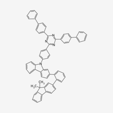 CC1(C)c2ccccc2-c2ccc(-c3ccccc3-c3ccc4c5ccccc5n(-c5ccc(-c6nc(-c7ccc(-c8ccccc8)cc7)nc(-c7ccc(-c8ccccc8)cc7)n6)cc5)c4c3)cc21